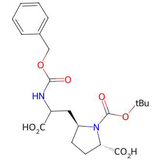 CC(C)(C)OC(=O)N1[C@H](CC(NC(=O)OCc2ccccc2)C(=O)O)CC[C@H]1C(=O)O